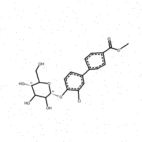 COC(=O)c1ccc(-c2ccc(O[C@H]3OC(CO)[C@@H](O)C(O)C3O)c(Cl)c2)cc1